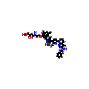 Cc1c(Nc2nc3ccccc3s2)nnc2c1CCCN2c1ccc(-c2cnn(CC34CC5(C)CC(C)(C3)CC(OCCNCC[C@H](O)CO)(C5)C4)c2C)c(C(=O)O)n1